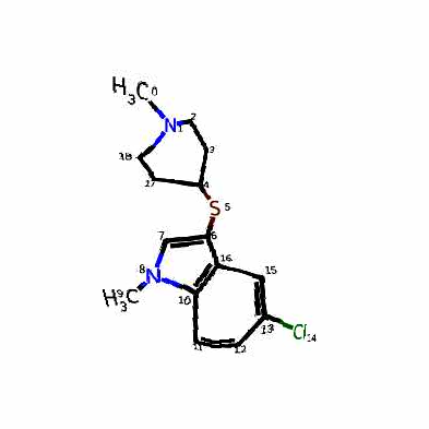 CN1CCC(Sc2cn(C)c3ccc(Cl)cc23)CC1